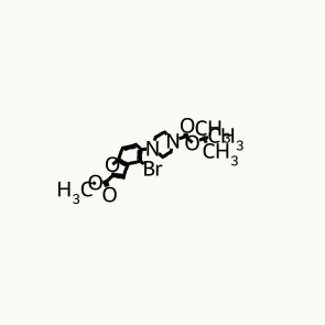 COC(=O)c1cc2c(Br)c(N3CCN(C(=O)OC(C)(C)C)CC3)ccc2o1